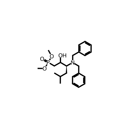 COP(=O)(CC(O)[C@H](CC(C)C)N(Cc1ccccc1)Cc1ccccc1)OC